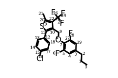 CCCc1cc(F)c(OCc2c(-c3ccc(Cl)cc3)sc(C)c2C(F)(F)F)c(F)c1